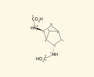 O=C(O)N[C@H]1CC2CC1[C@@H](NC(=O)O)C2